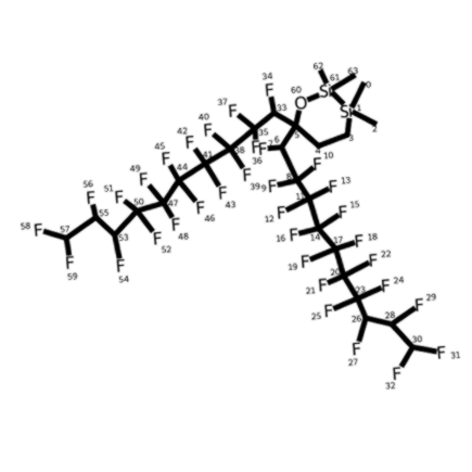 C[Si]1(C)CCC(C(F)C(F)(F)C(F)(F)C(F)(F)C(F)(F)C(F)(F)C(F)(F)C(F)C(F)C(F)F)(C(F)C(F)(F)C(F)(F)C(F)(F)C(F)(F)C(F)(F)C(F)(F)C(F)C(F)C(F)F)O[Si]1(C)C